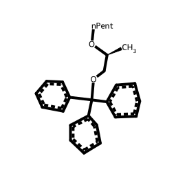 CCCCCO[C@@H](C)COC(c1ccccc1)(c1ccccc1)c1ccccc1